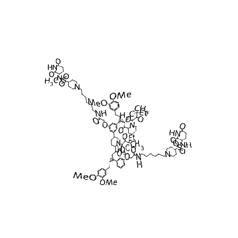 CCC(C)(C)C(=O)C(=O)N1CCCCC1C(=O)C[C@H](CCc1ccc(OC)c(OC)c1)c1cc(OCC(=O)NCCCCCCN2CCC(S(=O)(=O)N(C)C3CCC(=O)NC3=O)CC2)cc(C2CCC(C(=O)C[C@H](CCc3ccc(OC)c(OC)c3)c3cccc(OCC(=O)NCCCCCCN4CCC(S(=O)(=O)NC5CCC(=O)NC5=O)CC4)c3)N(C(=O)C(=O)C(C)(C)CC)C2)c1